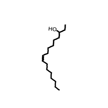 CCCCCCC/C=C\CCCCCC(O)CC